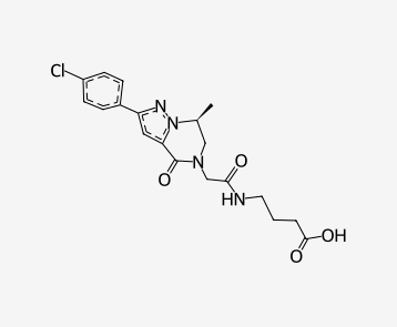 C[C@H]1CN(CC(=O)NCCCC(=O)O)C(=O)c2cc(-c3ccc(Cl)cc3)nn21